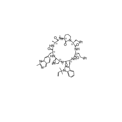 C=CC(C)(C)n1cc(C[C@@H]2NC(=O)[C@H](CCC(C)C)NC(=O)[C@H](CC(C)C)N3CCC[C@@H](C3=O)N(C)C(=O)[C@H](C)NC(=O)[C@H](Cc3ccc4cnc(C)nc4c3)NC(=O)[C@H](CC(C)C)N(C)C2=O)c2ccccc21